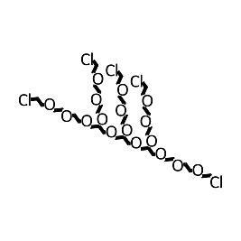 ClCCOCCOCCOCC(COCC(COCC(COCCOCCOCCCl)OCCOCCOCCCl)OCCOCCOCCCl)OCCOCCOCCCl